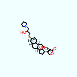 C[C@]12CC[C@H](SCC(O)CN3CCCC3)C[C@H]1CC[C@@H]1[C@@H]2CC[C@]2(C)[C@@H](C3=CC(=O)OC3)CC[C@]12O